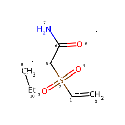 C=CS(=O)(=O)CC(N)=O.CCC